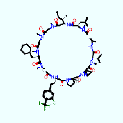 CC[C@H](C)[C@@H]1NC(=O)[C@H](CC(C)C)N(C)C(=O)C[C@@H](C)NC(=O)[C@H](C(C)C)N(C)C(=O)C2(CC2)NC(=O)[C@@H]2CCCN2C(=O)[C@H](CCc2ccc(C(F)(F)F)c(Cl)c2)NC(=O)CN(C)C(=O)[C@H](CC2CCCCC2)N(C)C(=O)CN(C)C(=O)CN(C)C1=O